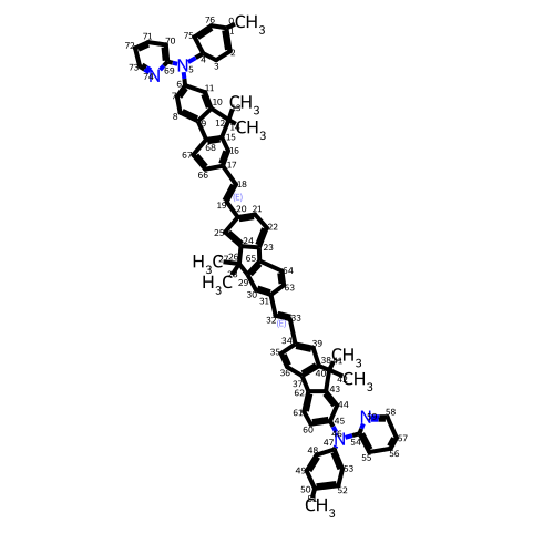 CC1=CCC(N(c2ccc3c(c2)C(C)(C)c2cc(/C=C/c4ccc5c(c4)C(C)(C)c4cc(/C=C/c6ccc7c(c6)C(C)(C)c6cc(N(c8ccc(C)cc8)c8ccccn8)ccc6-7)ccc4-5)ccc2-3)c2ccccn2)C=C1